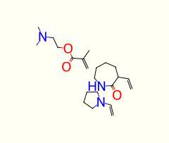 C=C(C)C(=O)OCCN(C)C.C=CC1CCCCNC1=O.C=CN1CCCC1